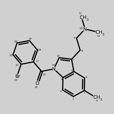 Cc1ccc2c(c1)c(CCN(C)C)cn2C(=O)c1ccccc1Br